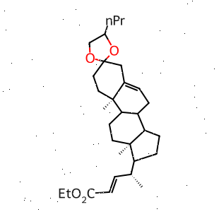 CCCC1COC2(CC[C@@]3(C)C(=CCC4C5CCC([C@H](C)/C=C/C(=O)OCC)[C@@]5(C)CCC43)C2)O1